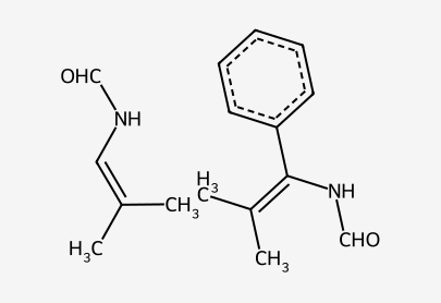 CC(C)=C(NC=O)c1ccccc1.CC(C)=CNC=O